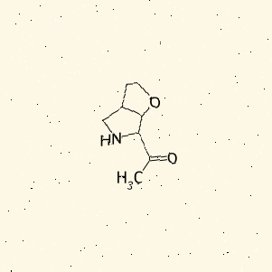 CC(=O)C1NCC2CCOC21